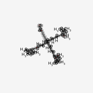 CC(=O)NC1C(C=O)[C@H](OC(C)=O)C(COC(C)=O)O[C@H]1OCCCCC(=O)NCCCNC(=O)CCOCC(COCCC(=O)NCCCNC(=O)CCCCO[C@@H]1OC(COC(C)=O)[C@@H](OC(C)=O)C(C=O)C1NC(C)=O)(COCCC(=O)NCCCNC(=O)CCCCO[C@@H]1OC(COC(C)=O)[C@@H](OC(C)=O)C(C=O)C1NC(C)=O)NC(=O)CCCCCCCCCCC(=O)OCc1ccccc1